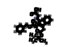 CC(C)(C)OC(=O)CN1c2ccccc2C(/C=C/C(=O)O)N1NC(=O)OCc1ccccc1